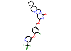 O=c1nc(OCc2ccc(Oc3ccnc(C(F)(F)F)c3)c(F)c2)cc2n1CC1CC3(CCCC3)CCN21